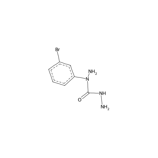 NNC(=O)N(N)c1cccc(Br)c1